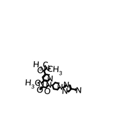 CN(C)C(=O)c1cnc2c(c1)n(C)c(=O)c(=O)n2C1CCN(c2ncc(C#N)cn2)CC1